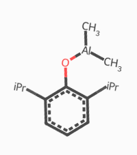 CC(C)c1cccc(C(C)C)c1[O][Al]([CH3])[CH3]